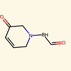 O=CBN1CC=CC(=O)C1